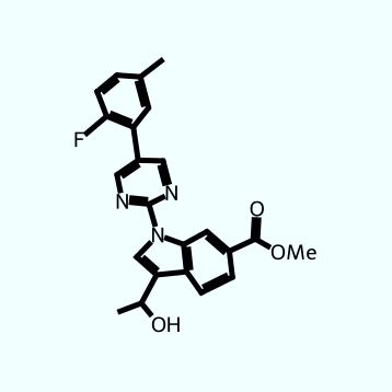 COC(=O)c1ccc2c(C(C)O)cn(-c3ncc(-c4cc(C)ccc4F)cn3)c2c1